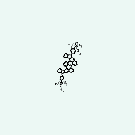 CC(C)(C)c1ccc(-n2c3ccccc3c3c4c5c(cccc5cc32)B2c3c-4cccc3-c3c4c2cccc4cc2c3c3ccccc3n2-c2ccc(C(C)(C)C)cc2)cc1